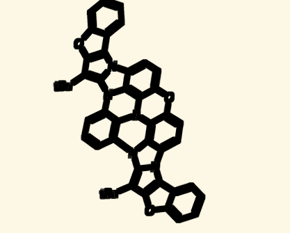 CC(C)(C)c1c2oc3ccccc3c2n2c3ccc4c5c3n(c12)-c1cccc2c1B5c1c(ccc3c1n-2c1c(C(C)(C)C)c2oc5ccccc5c2n31)O4